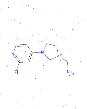 NC[C@H]1CCN(c2ccnc(Cl)c2)C1